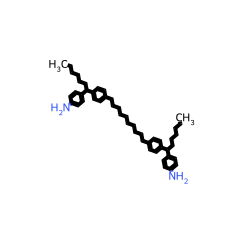 CCCCCCC(c1ccc(N)cc1)c1ccc(CCCCCCCCCCc2ccc(C(CCCCCC)c3ccc(N)cc3)cc2)cc1